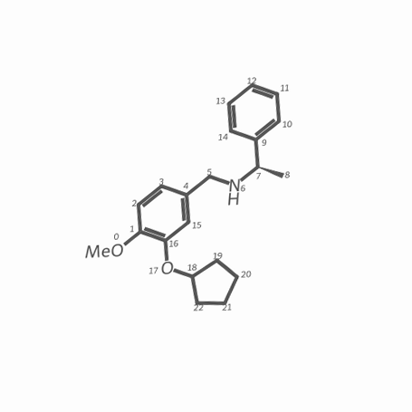 COc1ccc(CN[C@H](C)c2ccccc2)cc1OC1CCCC1